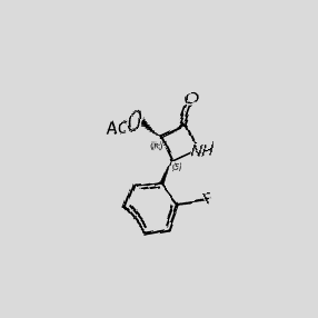 CC(=O)O[C@H]1C(=O)N[C@H]1c1ccccc1F